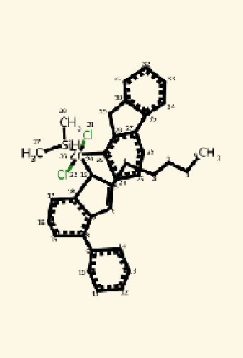 CCCCCC1=Cc2c(-c3ccccc3)cccc2[CH]1[Zr]([Cl])([Cl])([c]1cccc2c1Cc1ccccc1-2)[SiH](C)C